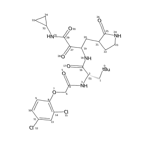 CC(C)(C)C[C@H](NC(=O)COc1ccc(Cl)cc1Cl)C(=O)NC(CC1CCNC1=O)C(=O)C(=O)NC1CC1